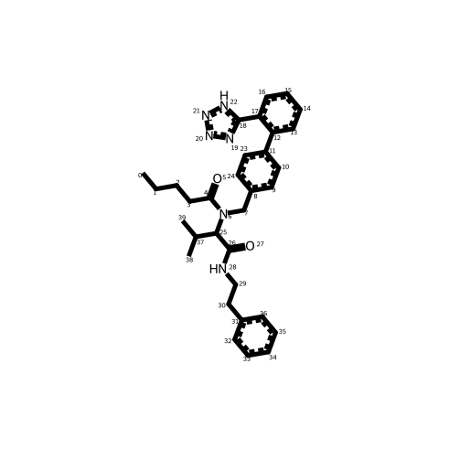 CCCCC(=O)N(Cc1ccc(-c2ccccc2-c2nnn[nH]2)cc1)C(C(=O)NCCc1ccccc1)C(C)C